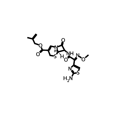 C=C(C)COC(=O)C1=CN2C(=O)C(NC(=O)C(=NOC)c3csc(N)n3)[C@H]2SC1